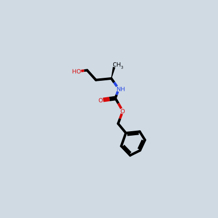 C[C@H](CCO)NC(=O)OCc1ccccc1